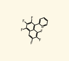 Fc1cc2c(F)c(F)c(F)c(-c3bcccc3)c2c(F)c1F